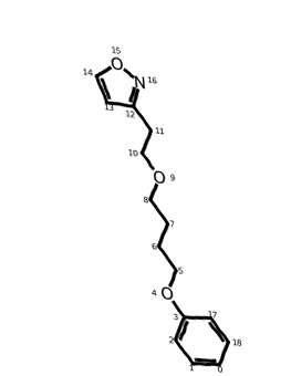 c1ccc(OCCCCOCCc2ccon2)cc1